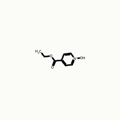 CCOC(=O)c1cc[n+](O)cc1